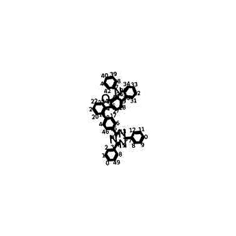 c1ccc(-c2nc(-c3ccccc3)nc(-c3ccc(-c4cccc5oc6c(ccc7c8ccccc8n(-c8ccccc8)c76)c45)cc3)n2)cc1